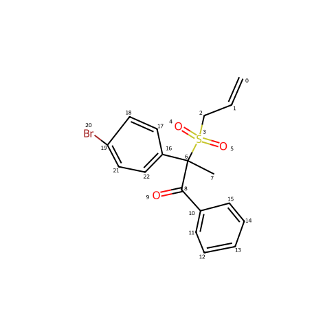 C=CCS(=O)(=O)C(C)(C(=O)c1ccccc1)c1ccc(Br)cc1